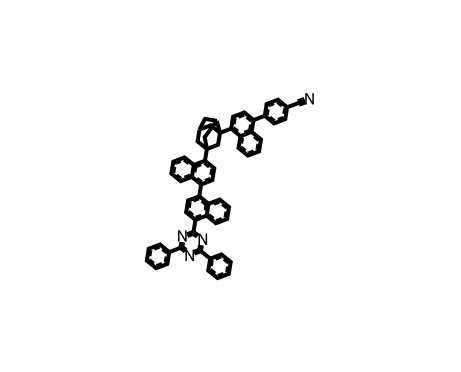 N#Cc1ccc(-c2ccc(C34CC5CC3CC(c3ccc(-c6ccc(-c7nc(-c8ccccc8)nc(-c8ccccc8)n7)c7ccccc67)c6ccccc36)(C5)C4)c3ccccc23)cc1